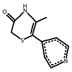 CC1=C(c2ccncc2)SCC(=O)N1